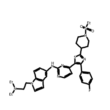 CCN(CC)CCn1ccc2cc(Nc3nccc(-c4sc(C5CCN(S(=O)(=O)CC)CC5)nc4-c4ccc(F)cc4)n3)ccc21